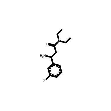 CCN(CC)C(=O)CC(N)c1cccc(Br)c1